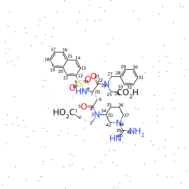 CC(=O)O.CN(C(=O)C[C@H](NS(=O)(=O)c1ccc2ccccc2c1)C(=O)N(CC(=O)O)Cc1ccccc1)[C@H]1CCCN(C(=N)N)C1